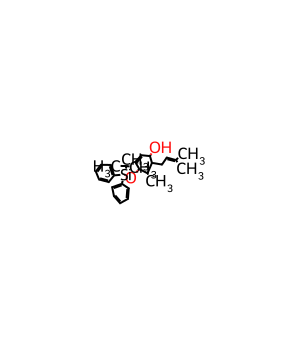 CC(C)=CCC1C(O)C=CC(O[Si](c2ccccc2)(c2ccccc2)C(C)(C)C)[C@@H]1C